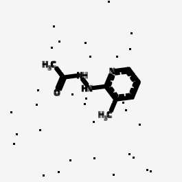 CC(=O)NNc1ncccc1C